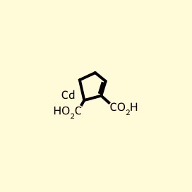 O=C(O)C1=CCCC1C(=O)O.[Cd]